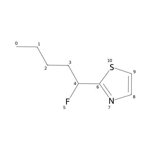 CCCCC(F)c1nccs1